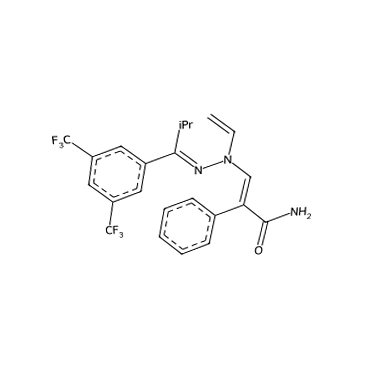 C=CN(/C=C(/C(N)=O)c1ccccc1)/N=C(/c1cc(C(F)(F)F)cc(C(F)(F)F)c1)C(C)C